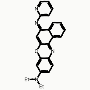 CCN(CC)c1ccc2nc3c4ccccc4/c(=N\c4ccccn4)cc-3oc2c1